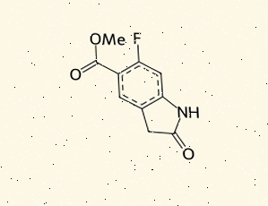 COC(=O)c1cc2c(cc1F)NC(=O)C2